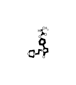 CNC(=O)Oc1ccc(C2CCC(=O)N2CCN2CCOCC2)cc1